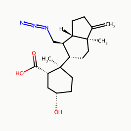 C=C1CC[C@H]2[C@H](CN=[N+]=[N-])[C@@H]([C@@]3(C)CC[C@H](O)C[C@@H]3C(=O)O)CC[C@]12C